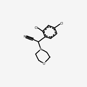 N#CC(c1ccc(Cl)cc1Cl)N1CCOCC1